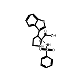 O=C(O)[C@@]1(NS(=O)(=O)c2ccccc2)NCCC1c1csc2ccccc12